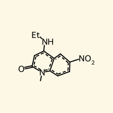 CCNc1cc(=O)n(C)c2ccc([N+](=O)[O-])cc12